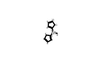 [CH3][Zn]([C]1=CC=CC1)[C]1=CC=CC1